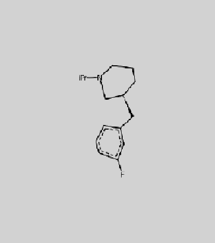 CC(C)N1CCC[C@@H](Cc2cccc(F)c2)C1